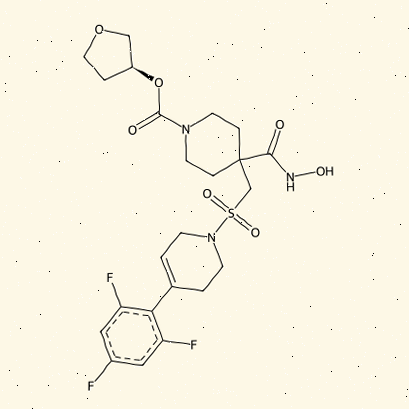 O=C(O[C@H]1CCOC1)N1CCC(CS(=O)(=O)N2CC=C(c3c(F)cc(F)cc3F)CC2)(C(=O)NO)CC1